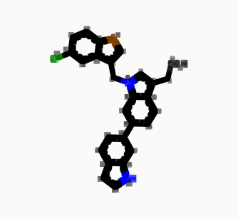 O=C(O)Cc1cn(Cc2csc3ccc(Cl)cc23)c2cc(-c3ccc4cc[nH]c4c3)ccc12